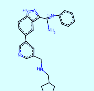 N/C(=N\c1ccccc1)c1n[nH]c2ccc(-c3cncc(CNCC4CCCC4)c3)cc12